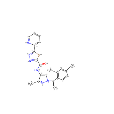 Cc1nn([C@H](C)c2ccc(C(F)(F)F)cc2C(F)(F)F)cc1NC(=O)c1nnc(-c2ccccn2)s1